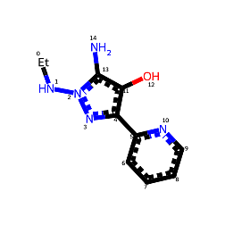 CCNn1nc(-c2ccccn2)c(O)c1N